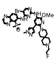 COc1nc(N2CCC3(CCN(CCF)CC3)CC2)c(-c2cnn(C)c2)cc1Nc1ncc(Br)c(Nc2ccc3nccnc3c2P(C)(C)=O)n1